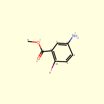 COC(=O)c1cc(N)ccc1I